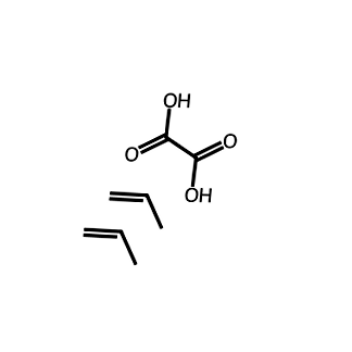 C=CC.C=CC.O=C(O)C(=O)O